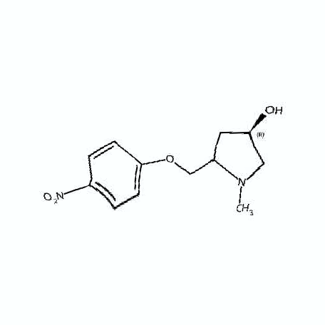 CN1C[C@H](O)CC1COc1ccc([N+](=O)[O-])cc1